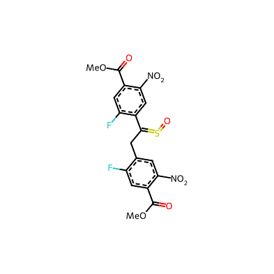 COC(=O)c1cc(F)c(CC(=S=O)c2cc([N+](=O)[O-])c(C(=O)OC)cc2F)cc1[N+](=O)[O-]